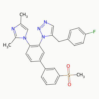 Cc1cn(-c2ccc(-c3cccc(S(C)(=O)=O)c3)cc2-n2nncc2Cc2ccc(F)cc2)c(C)n1